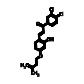 C=C(C)CCOc1ccc(C=CC(=O)c2ccc(Cl)c(Cl)c2)c(O)c1